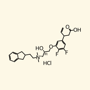 C=CC(CC(=O)O)c1cc(F)c(F)c(OC[C@H](O)C[N+](C)(C)CCC2Cc3ccccc3C2)c1.Cl